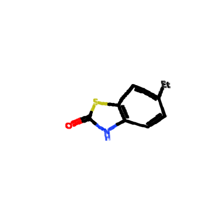 CCc1ccc2[nH]c(=O)sc2c1